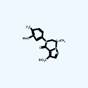 CCOC(=O)c1cnn2c1C(=O)N(c1ccc(C(F)(F)F)c(OC)c1)C[C@@H]2C